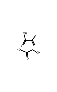 C=C(C)C(=O)O.O=C(O)CO